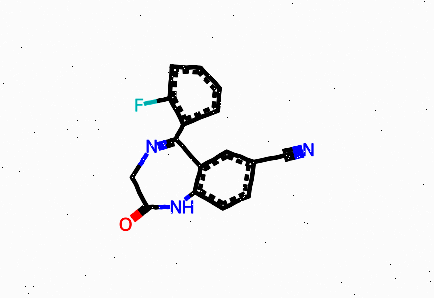 N#Cc1ccc2c(c1)C(c1ccccc1F)=NCC(=O)N2